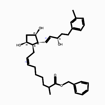 Cc1cccc(CC[C@H](O)/C=C/[C@@H]2[C@@H](C/C=C\CCCCC(C)C(=O)OCc3ccccc3)[C@@H](O)C[C@H]2O)c1